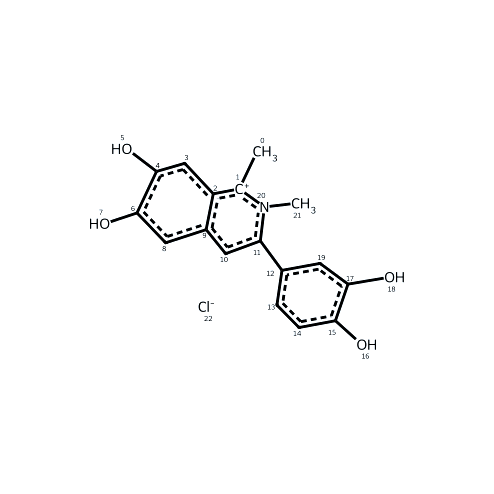 C[c+]1c2cc(O)c(O)cc2cc(-c2ccc(O)c(O)c2)n1C.[Cl-]